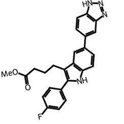 COC(=O)CCCc1c(-c2ccc(F)cc2)[nH]c2ccc(-c3ccc4[nH]nnc4c3)cc12